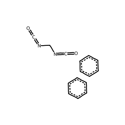 O=C=NCN=C=O.c1ccccc1.c1ccccc1